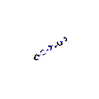 C[C@H]1CN(c2ccc(F)cn2)CCN1c1ncc(NC(=O)c2ccc(N3CCC3)nc2)cn1